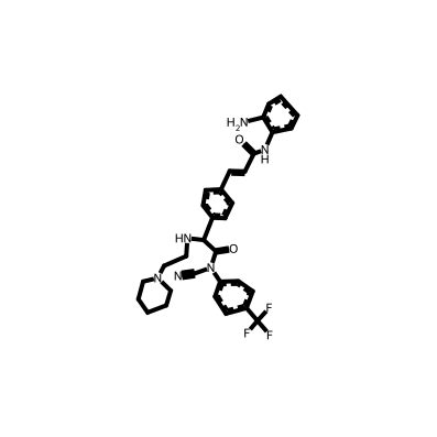 N#CN(C(=O)C(NCCN1CCCCC1)c1ccc(C=CC(=O)Nc2ccccc2N)cc1)c1ccc(C(F)(F)F)cc1